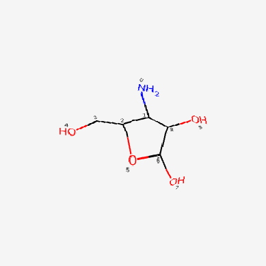 NC1C(CO)OC(O)C1O